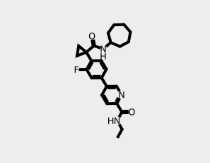 CCNC(=O)c1ccc(-c2ccc(C3(C(=O)NC4CCCCCC4)CC3)c(F)c2)cn1